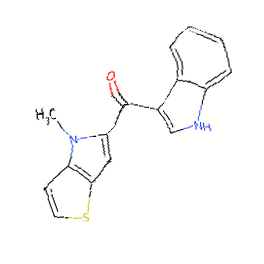 Cn1c(C(=O)c2c[nH]c3ccccc23)cc2sccc21